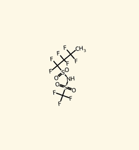 CC(F)(F)C(F)(F)C(F)(F)S(=O)(=O)NS(=O)(=O)C(F)(F)F